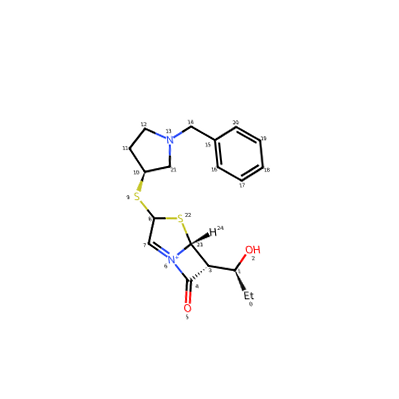 CC[C@H](O)[C@@H]1C(=O)[N+]2=CC(S[C@H]3CCN(Cc4ccccc4)C3)S[C@H]12